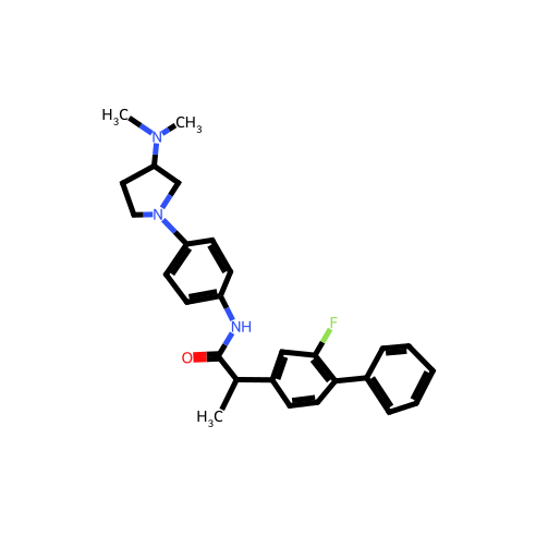 CC(C(=O)Nc1ccc(N2CCC(N(C)C)C2)cc1)c1ccc(-c2ccccc2)c(F)c1